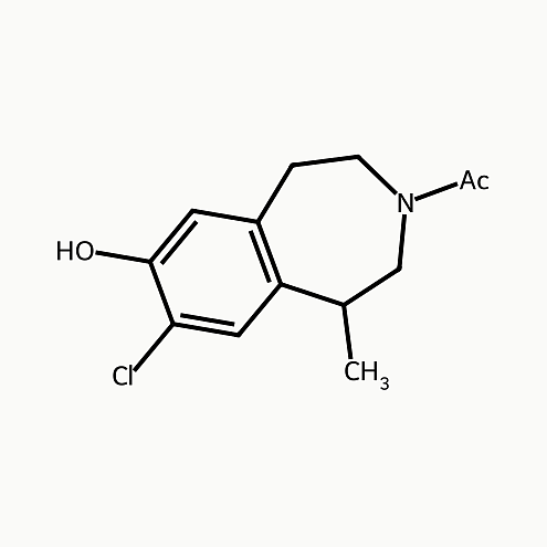 CC(=O)N1CCc2cc(O)c(Cl)cc2C(C)C1